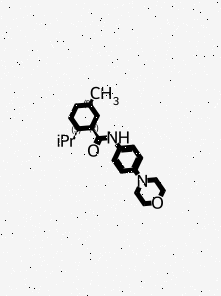 CC(C)[C@@H]1CC[C@@H](C)C[C@H]1C(=O)Nc1ccc(N2CCOCC2)cc1